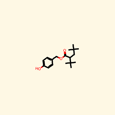 CC(C)(C)CC(C(=O)OCc1ccc(O)cc1)C(C)(C)C